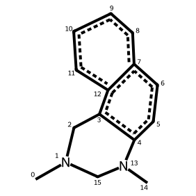 CN1Cc2c(ccc3ccccc23)N(C)C1